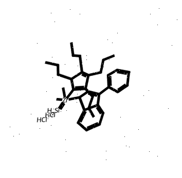 CCCC1=C(CCC)C(CCC)[C]([Zr]([CH3])([CH3])(=[SiH2])[CH]2C=C(c3ccccc3)c3ccccc32)=C1CCC.Cl.Cl